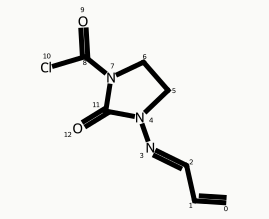 C=CC=NN1CCN(C(=O)Cl)C1=O